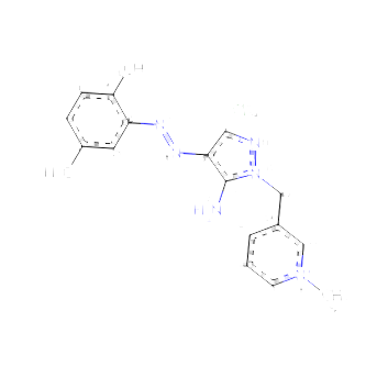 Cc1ccc(C)c(N=Nc2cnn(Cc3ccc[n+](C)c3)c2N)c1.[Cl-]